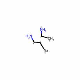 CCN.NC[CH2][Na]